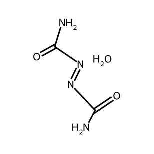 NC(=O)/N=N/C(N)=O.O